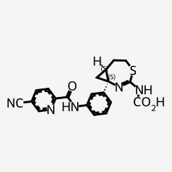 N#Cc1ccc(C(=O)Nc2cccc([C@]34C[C@H]3CCSC(NC(=O)O)=N4)c2)nc1